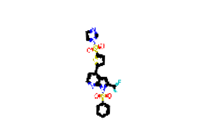 O=S(=O)(c1ccc(-c2ccnc3c2cc(C(F)F)n3S(=O)(=O)c2ccccc2)s1)n1ccnc1